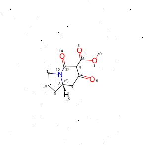 COC(=O)C1C(=O)C[C@@H]2CCCN2C1=O